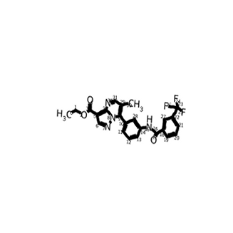 CCOC(=O)c1cnn2c(-c3cccc(NC(=O)c4cccc(C(F)(F)F)c4)c3)c(C)cnc12